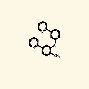 Cc1ccc(-c2ccccn2)cc1Oc1cccc(-c2ccccn2)c1